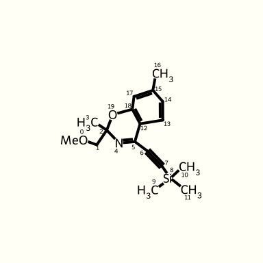 COCC1(C)N=C(C#C[Si](C)(C)C)c2ccc(C)cc2O1